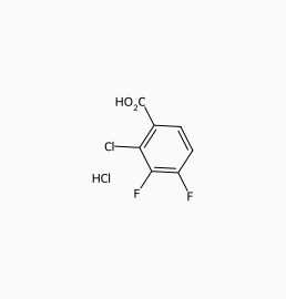 Cl.O=C(O)c1ccc(F)c(F)c1Cl